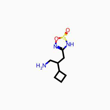 NCC(CC1=NOS(=O)N1)C1CCC1